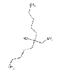 CCCCCC(O)(CN)CCCCC